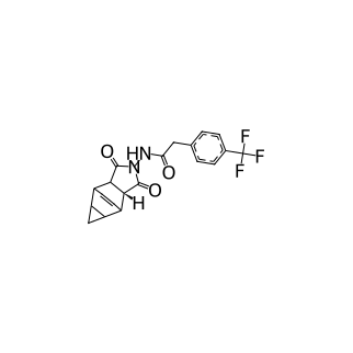 O=C(Cc1ccc(C(F)(F)F)cc1)NN1C(=O)C2C3C=CC(C4CC34)[C@H]2C1=O